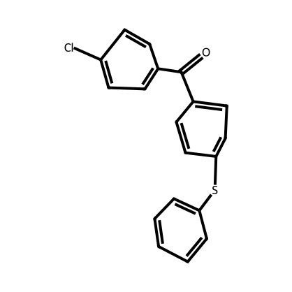 O=C(c1ccc(Cl)cc1)c1ccc(Sc2ccccc2)cc1